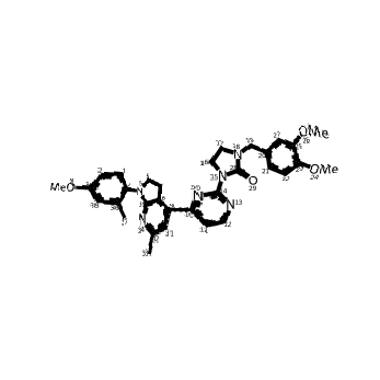 COc1ccc(N2CCc3c(-c4ccnc(N5CCN(Cc6ccc(OC)c(OC)c6)C5=O)n4)cc(C)nc32)c(C)c1